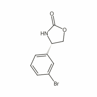 O=C1N[C@@H](c2cccc(Br)c2)CO1